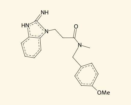 COc1ccc(CN(C)C(=O)CCn2c(=N)[nH]c3ccccc32)cc1